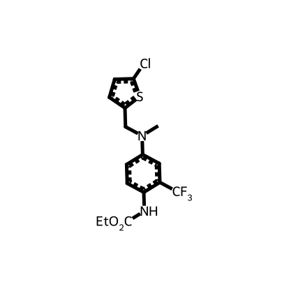 CCOC(=O)Nc1ccc(N(C)Cc2ccc(Cl)s2)cc1C(F)(F)F